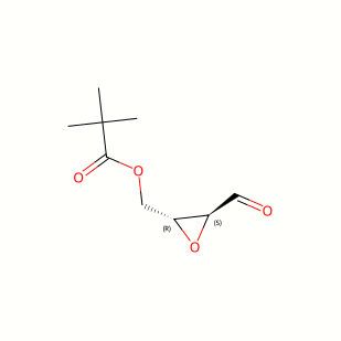 CC(C)(C)C(=O)OC[C@H]1O[C@@H]1C=O